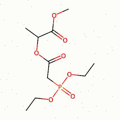 CCOP(=O)(CC(=O)OC(C)C(=O)OC)OCC